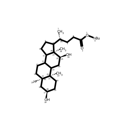 CCCCOC(=O)CC[C@@H](C)C1CCC2C3CC[C@@H]4C[C@H](O)CC[C@]4(C)C3C[C@H](O)[C@@]21C